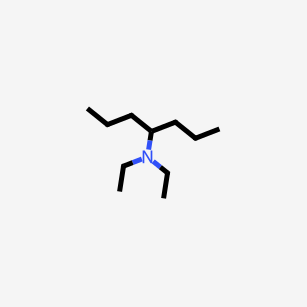 CCCC(CCC)N(CC)CC